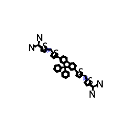 N#CC(C#N)=c1cc/c(=C\c2ccc(-c3ccc4c(c3)C(c3ccccc3)(c3ccccc3)c3cc(-c5ccc(/C=c6\ccc(=C(C#N)C#N)s6)s5)ccc3-4)s2)s1